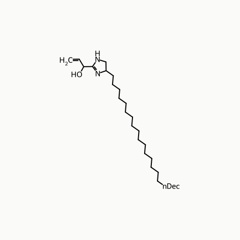 C=CC(O)C1=NC(CCCCCCCCCCCCCCCCCCCCCCCCCC)CN1